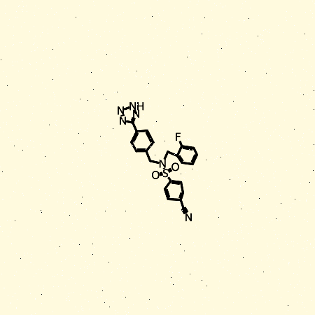 N#Cc1ccc(S(=O)(=O)N(Cc2ccc(-c3nn[nH]n3)cc2)Cc2ccccc2F)cc1